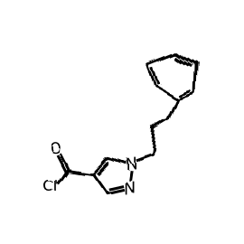 O=C(Cl)c1cnn(CCCc2ccccc2)c1